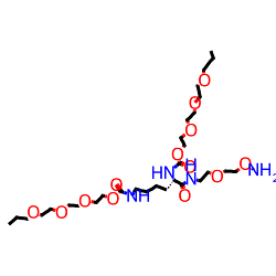 CCCOCCOCCOCCOC(=O)NCCCC[C@H](NC(=O)OCCOCCOCCOCCC)C(=O)NCCOCCON